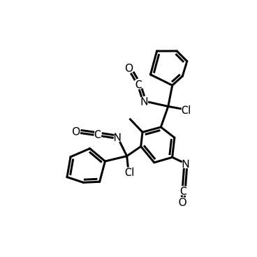 Cc1c(C(Cl)(N=C=O)c2ccccc2)cc(N=C=O)cc1C(Cl)(N=C=O)c1ccccc1